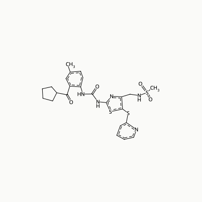 Cc1ccc(NC(=O)Nc2nc(CNS(C)(=O)=O)c(Sc3ccccn3)s2)c(C(=O)C2CCCC2)c1